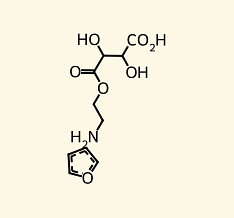 NCCOC(=O)C(O)C(O)C(=O)O.c1ccoc1